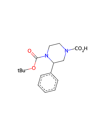 CC(C)(C)OC(=O)N1CCN(C(=O)O)CC1c1ccccc1